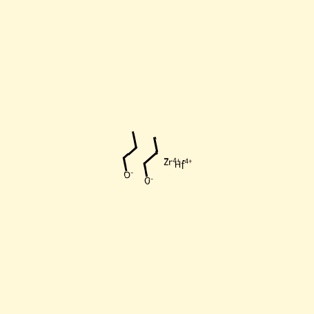 CCC[O-].CCC[O-].[Hf+4].[Zr+4]